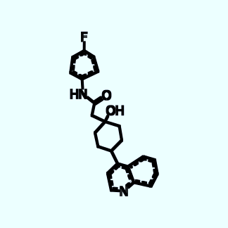 O=C(CC1(O)CCC(c2ccnc3ccccc23)CC1)Nc1ccc(F)cc1